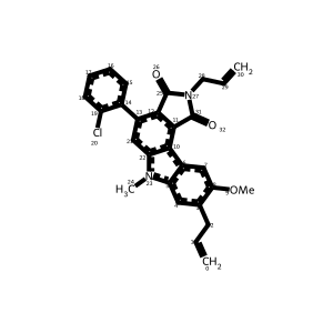 C=CCc1cc2c(cc1OC)c1c3c(c(-c4ccccc4Cl)cc1n2C)C(=O)N(CC=C)C3=O